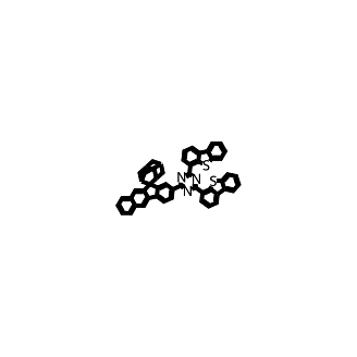 c1ccc2cc3c(cc2c1)-c1ccc(-c2nc(-c4cccc5c4sc4ccccc45)nc(-c4cccc5c4sc4ccccc45)n2)cc1C31C2CC3CC(C2)CC1C3